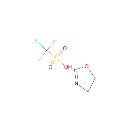 C1=NCCO1.O=S(=O)(O)C(F)(F)F